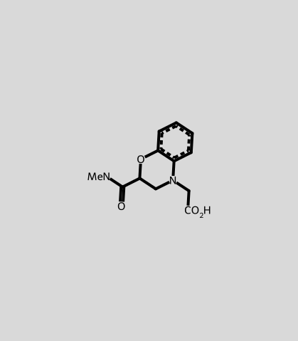 CNC(=O)C1CN(CC(=O)O)c2ccccc2O1